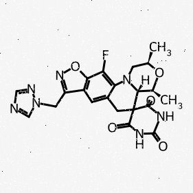 C[C@@H]1CN2c3c(cc4c(Cn5cncn5)noc4c3F)CC3(C(=O)NC(=O)NC3=O)[C@H]2[C@H](C)O1